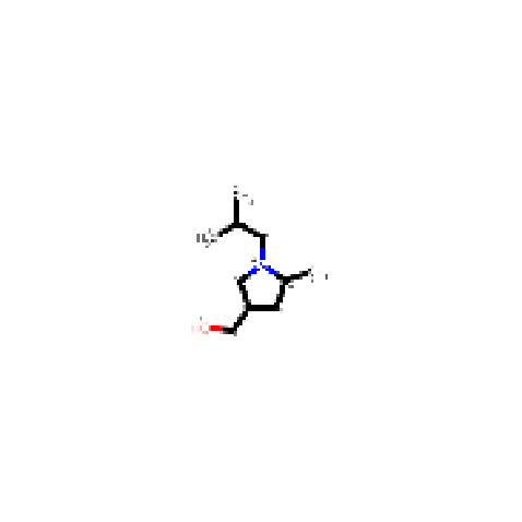 C[C](C)CN1CC(CO)CC1C